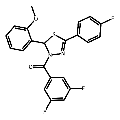 COc1ccccc1C1SC(c2ccc(F)cc2)=NN1C(=O)c1cc(F)cc(F)c1